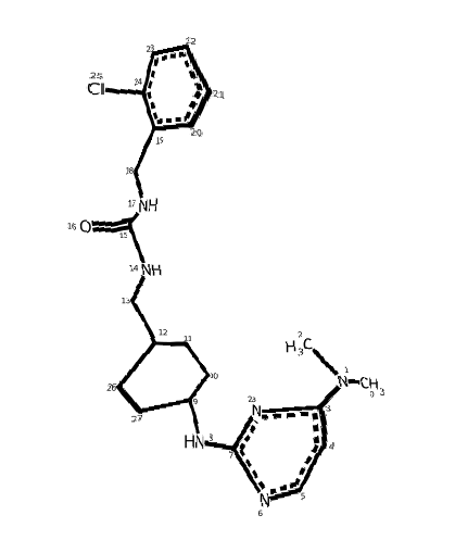 CN(C)c1ccnc(NC2CCC(CNC(=O)NCc3ccccc3Cl)CC2)n1